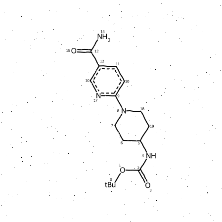 CC(C)(C)OC(=O)NC1CCN(c2ccc(C(N)=O)cn2)CC1